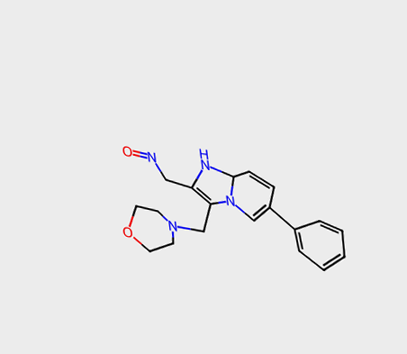 O=NCC1=C(CN2CCOCC2)N2C=C(c3ccccc3)C=CC2N1